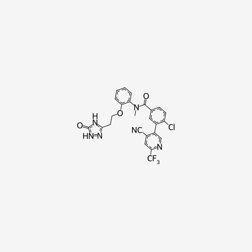 CN(C(=O)c1ccc(Cl)c(-c2cnc(C(F)(F)F)cc2C#N)c1)c1ccccc1OCCc1n[nH]c(=O)[nH]1